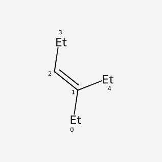 [CH2]C/C(=C/CC)CC